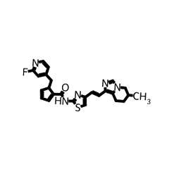 CC1CCc2c(/C=C/c3csc(NC(=O)C4=CC=CC4Cc4ccnc(F)c4)n3)ncn2C1